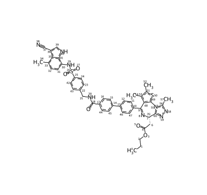 CCCOC(=O)C[C@@H]1N=C(c2ccc(-c3ccc(C(=O)NCc4ccc(S(=O)(=O)Nc5ccc(C)c6c(C#N)c[nH]c56)cc4)cc3)cc2)c2c(sc(C)c2C)-n2c(C)nnc21